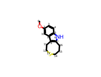 COc1ccc2[nH]c3c(c2c1)CCSCCC3